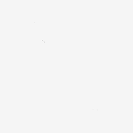 CCCCCCCCCCCCCCCCNCC(C)C